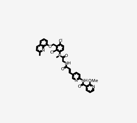 COc1ncccc1C(=O)Nc1ccc(/C=C/C(=O)NCC(=O)N(C)c2ccc(Cl)c(COc3cccc4ccc(C)nc34)c2Cl)cn1